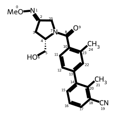 CO/N=C1\C[C@@H](CO)N(C(=O)c2ccc(-c3cccc(C#N)c3C)cc2C)C1